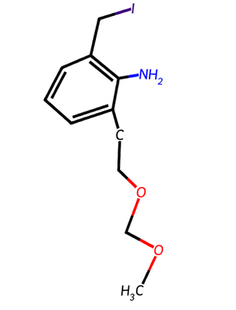 COCOCCc1cccc(CI)c1N